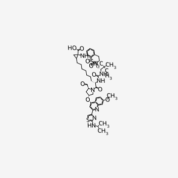 COc1ccc2c(O[C@@H]3C[C@@H](C=O)N(C(=O)[C@H](CCCCCCCC4C[C@]4(N)C(=O)O)NC(=O)N[C@H](CN4CCc5ccccc5S4(=O)=O)C(C)(C)C)C3)cc(-c3csc(NC(C)C)n3)nc2c1